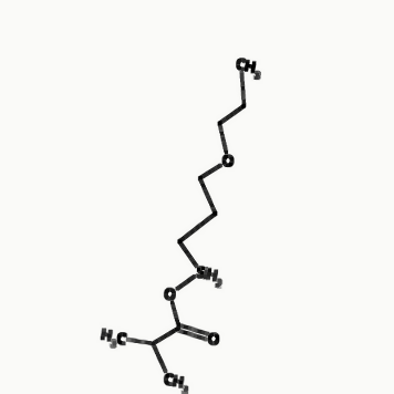 CCCOCCC[SiH2]OC(=O)C(C)C